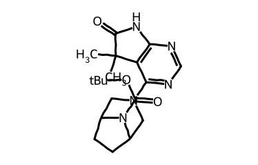 CC(C)(C)OC(=O)N1C2CCC1CN(c1ncnc3c1C(C)(C)C(=O)N3)C2